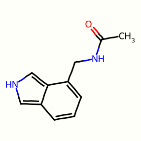 CC(=O)NCc1cccc2c[nH]cc12